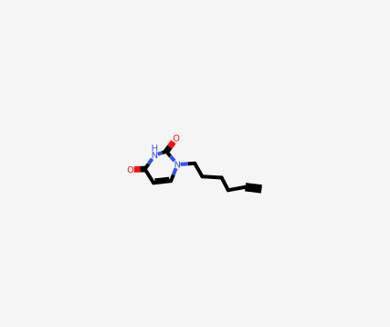 C#CCCCCn1ccc(=O)[nH]c1=O